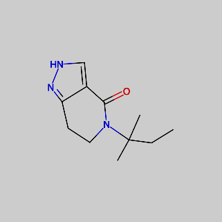 CCC(C)(C)N1CCc2n[nH]cc2C1=O